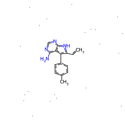 C=Cc1[nH]c2ncnc(N)c2c1-c1ccc(C)cc1